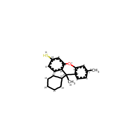 Cc1ccc2c(c1)Oc1cc(S)ccc1C2(C)C1CCCCC1